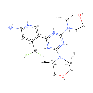 C[C@@H]1COCCN1c1nc(-c2cnc(N)cc2C(F)F)nc(N2[C@H](C)COC[C@H]2C)n1